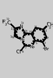 Cc1cc(Br)c2nc(Cl)n3cc(C(F)(F)F)nc3c2c1